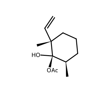 C=C[C@]1(C)CCC[C@@H](C)[C@@]1(O)OC(C)=O